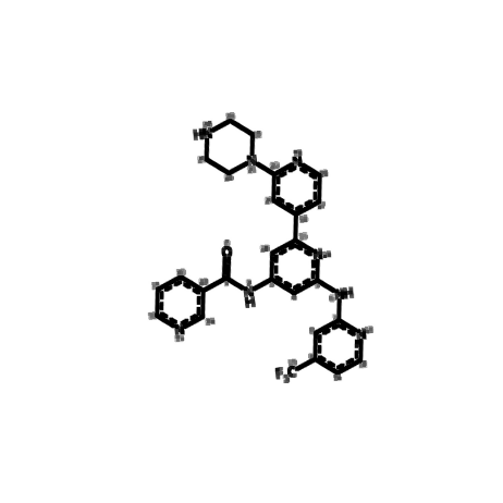 O=C(Nc1cc(Nc2cc(C(F)(F)F)ccn2)nc(-c2ccnc(N3CCNCC3)c2)c1)c1cccnc1